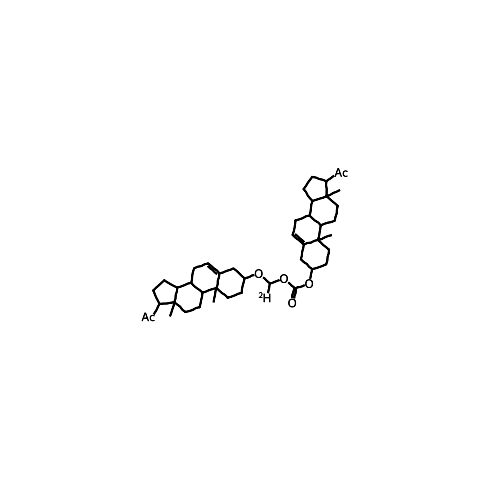 [2H]C(OC(=O)OC1CCC2(C)C(=CCC3C2CCC2(C)C(C(C)=O)CCC32)C1)OC1CCC2(C)C(=CCC3C2CCC2(C)C(C(C)=O)CCC32)C1